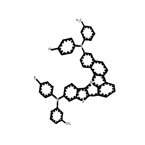 Cc1cccc(N(c2ccc(F)cc2)c2ccc3c(ccc4c5cccc6c7sc8cc(N(c9ccc(F)cc9)c9cccc(C)c9)ccc8c7n(c34)c56)c2)c1